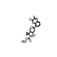 CCC(CC(=O)c1cccc2nc(C)c(F)nc12)C(=O)C1(NC(=O)OC(C)(C)C)CC1